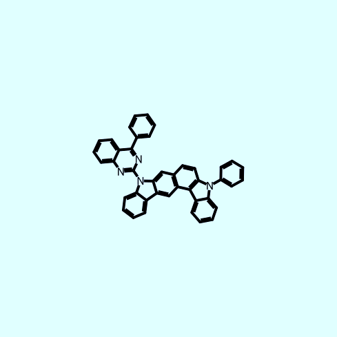 c1ccc(-c2nc(-n3c4ccccc4c4cc5c(ccc6c5c5ccccc5n6-c5ccccc5)cc43)nc3ccccc23)cc1